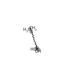 C=C(C)COCCCCCCCCCCCCOP(=O)(O)O